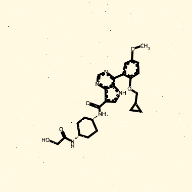 COc1ccc(OCC2CC2)c(-c2ncnc3c(C(=O)N[C@H]4CC[C@@H](NC(=O)CO)CC4)c[nH]c23)c1